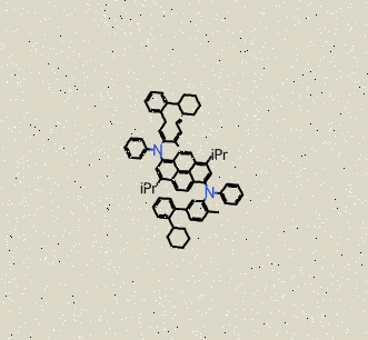 C=C/C=C(C)\C(=C/Cc1ccccc1C1CCCCC1)N(c1ccccc1)c1cc(C(C)C)c2ccc3c(N(c4ccccc4)c4cc(-c5ccccc5C5CCCCC5)ccc4C)cc(C(C)C)c4ccc1c2c43